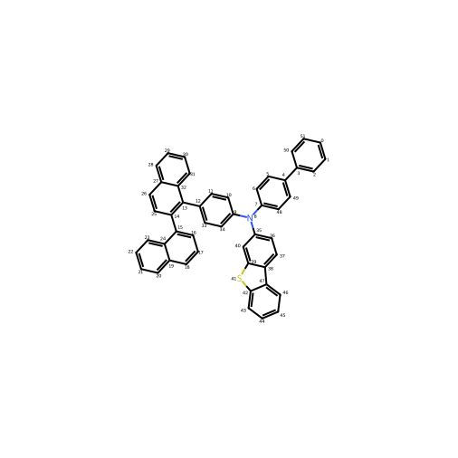 c1ccc(-c2ccc(N(c3ccc(-c4c(-c5cccc6ccccc56)ccc5ccccc45)cc3)c3ccc4c(c3)sc3ccccc34)cc2)cc1